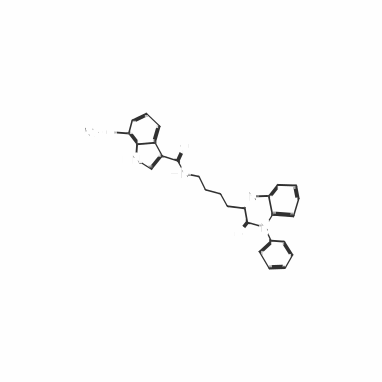 COc1cccc2c(C(=O)NCCCCCC(=O)N(c3ccccc3)c3ccccc3N)c[nH]c12